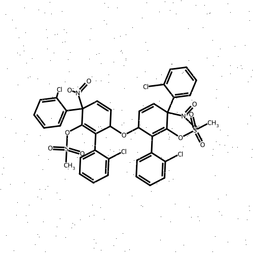 CS(=O)(=O)OC1=C(c2ccccc2Cl)C(OC2C=CC(c3ccccc3Cl)([N+](=O)[O-])C(OS(C)(=O)=O)=C2c2ccccc2Cl)C=CC1(c1ccccc1Cl)[N+](=O)[O-]